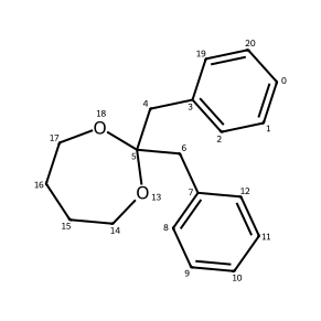 c1ccc(CC2(Cc3ccccc3)OCCCCO2)cc1